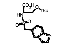 CC(C)(C)OCC(NS(=O)(=O)Cc1ccc2sccc2c1)C(=O)O